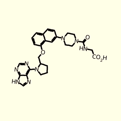 O=C(O)CNC(=O)N1CCN(c2ccc3cccc(OCC4CCCN4c4ncnc5[nH]cnc45)c3c2)CC1